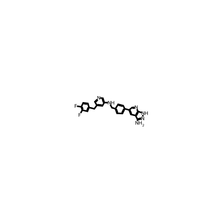 Nc1n[nH]c2ncc(-c3ccc(CNc4cncc(Cc5ccc(F)c(F)c5)c4)cc3)cc12